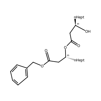 CCCCCCC[C@@H](O)CC(=O)O[C@H](CCCCCCC)CC(=O)OCc1ccccc1